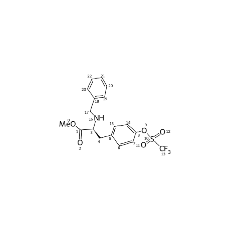 COC(=O)[C@H](Cc1ccc(OS(=O)(=O)C(F)(F)F)cc1)NCc1ccccc1